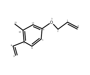 C=CCOc1ccc(C=C)c(C)c1